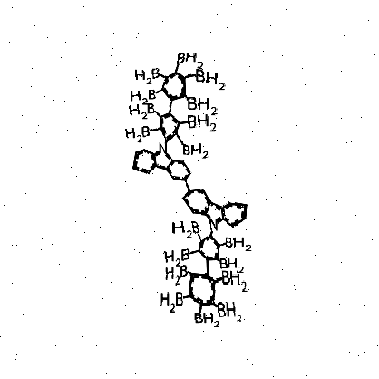 Bc1c(B)c(B)c(-c2c(B)c(B)c(-n3c4ccccc4c4cc(-c5ccc6c(c5)c5ccccc5n6-c5c(B)c(B)c(-c6c(B)c(B)c(B)c(B)c6B)c(B)c5B)ccc43)c(B)c2B)c(B)c1B